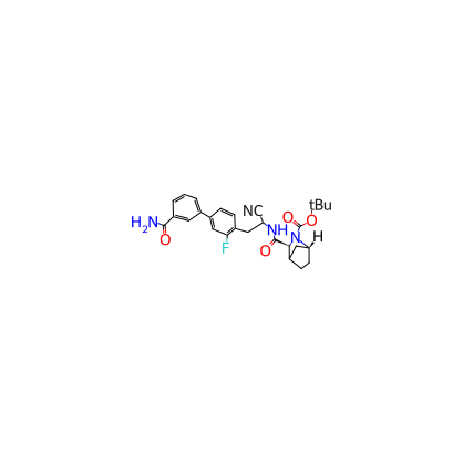 CC(C)(C)OC(=O)N1[C@@H]2CCC(C2)[C@H]1C(=O)NC(C#N)Cc1ccc(-c2cccc(C(N)=O)c2)cc1F